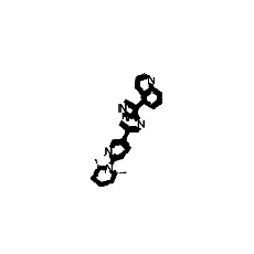 C[C@@H]1CCC[C@H](C)N1c1ccc(-c2cnc3c(-c4cccc5ncccc45)cnn3c2)cn1